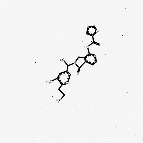 Cc1cc(C(C)N2Cc3c(ccnc3NC(=O)c3cocn3)C2=O)cnc1CCC(F)(F)F